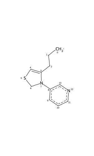 [CH2]CCC1=CSCN1c1cccnc1